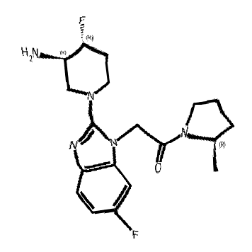 C[C@@H]1CCCN1C(=O)Cn1c(N2CC[C@@H](F)[C@H](N)C2)nc2ccc(F)cc21